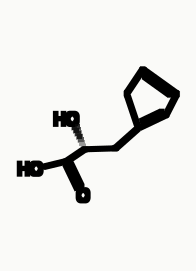 O=C(O)[C@H](O)CC1=CC=CC1